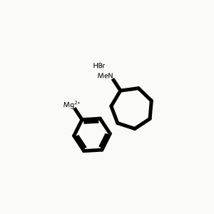 Br.CNC1CCCCCC1.[Mg+2][c]1ccccc1